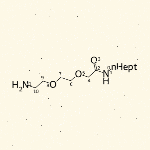 CCCCCCCNC(=O)COCCOCCN